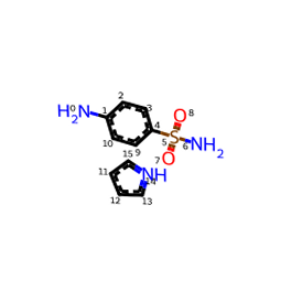 Nc1ccc(S(N)(=O)=O)cc1.c1cc[nH]c1